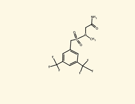 CN(CC(N)=O)S(=O)(=O)Cc1cc(C(F)(F)F)cc(C(F)(F)F)c1